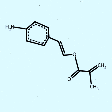 C=C(C)C(=O)OC=Cc1ccc(N)cc1